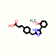 COc1ccccc1-c1cnc(Cc2ccc(/C=C/C(=O)O)cc2)[nH]1